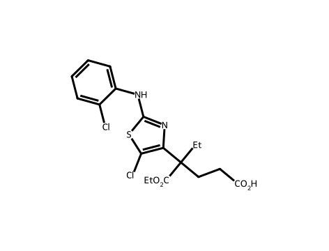 CCOC(=O)C(CC)(CCC(=O)O)c1nc(Nc2ccccc2Cl)sc1Cl